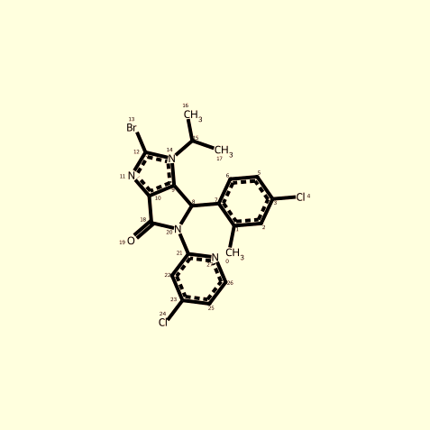 Cc1cc(Cl)ccc1C1c2c(nc(Br)n2C(C)C)C(=O)N1c1cc(Cl)ccn1